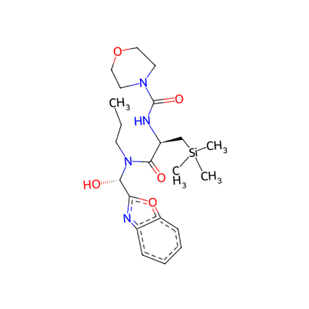 CCCN(C(=O)[C@H](C[Si](C)(C)C)NC(=O)N1CCOCC1)[C@@H](O)c1nc2ccccc2o1